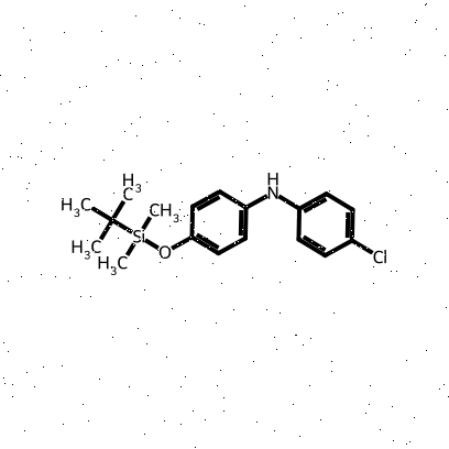 CC(C)(C)[Si](C)(C)Oc1ccc(Nc2ccc(Cl)cc2)cc1